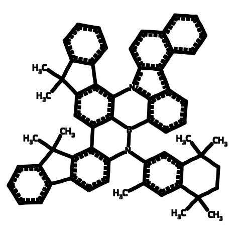 Cc1cc2c(cc1N1B3c4c(cc5c(c4-n4c6ccc7ccccc7c6c6cccc3c64)-c3ccccc3C5(C)C)-c3c1ccc1c3C(C)(C)c3ccccc3-1)C(C)(C)CCC2(C)C